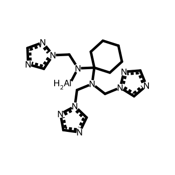 [AlH2][N](Cn1cncn1)C1(N(Cn2cncn2)Cn2cncn2)CCCCC1